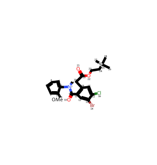 COc1ccccc1N(C)C(=O)c1cc(Br)c(Cl)cc1CC(=O)OCC[Si](C)(C)C